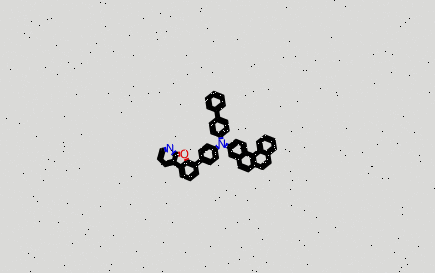 c1ccc(-c2ccc(N(c3ccc(-c4cccc5c4oc4ncccc45)cc3)c3ccc4c(ccc5ccc6ccccc6c54)c3)cc2)cc1